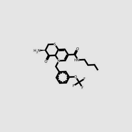 CCCCNC(=O)C1=CN(Cc2cccc(OC(F)(F)F)c2)C2C(=O)[C@@H](N)CSC2=C1